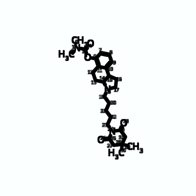 CN(C)C(=O)Oc1cccc2c1CCC1C2CCN1CCCCCN1C(=O)CC(C)(C)CC1=O